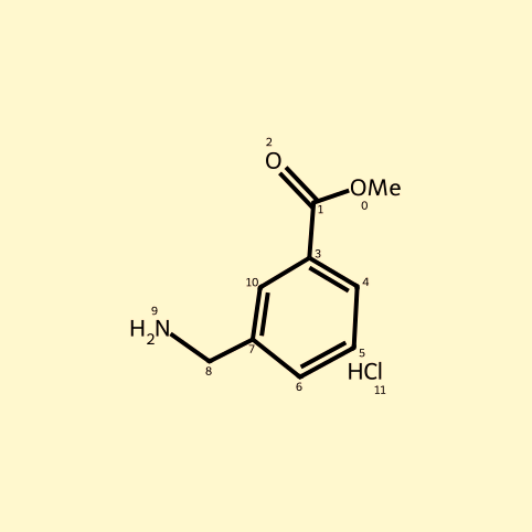 COC(=O)c1cccc(CN)c1.Cl